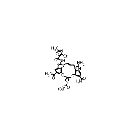 CCc1nc(C)oc1C(=O)Nc1nc2cc(C(N)=O)cc3c2n1C/C=C/Cn1c(N)nc2cc(C(N)=O)cc(c21)OCC1(CO3)CN(C(=O)OC(C)(C)C)C1